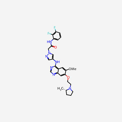 COc1cc2c(Nc3cnn(CC(=O)Nc4cccc(F)c4F)c3)ncnc2cc1OCCN1CCC[C@@H]1C